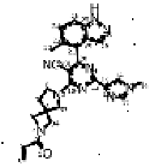 C=CC(=O)N1CC2(CCN(c3nc(-c4cn(C)cn4)nc(-c4c(C)ccc5[nH]ncc45)c3C#N)C2)C1